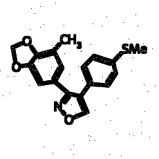 CSc1ccc(-c2conc2-c2cc(C)c3c(c2)OCO3)cc1